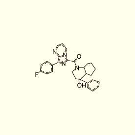 O=C(c1nc(-c2ccc(F)cc2)c2ncccn12)N1CCC(O)(c2ccccc2)C2CCCCC21